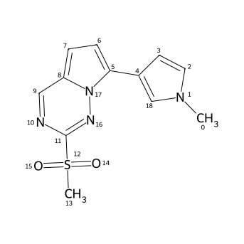 Cn1ccc(-c2ccc3cnc(S(C)(=O)=O)nn23)c1